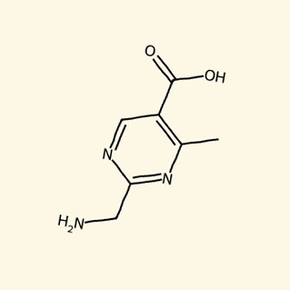 Cc1nc(CN)ncc1C(=O)O